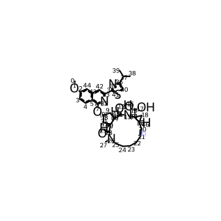 COc1ccc2c(O[C@@H]3C[C@H]4C(=O)N[C@]5(C(=O)O)C[C@H]5/C=C\CCCCN(C)C(=O)[C@@H]4C3)nc(-c3nc(C(C)C)cs3)cc2c1